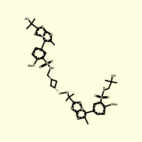 COc1ccc(-c2c(C)nc3sc(C(C)(C)OO[C@H]4C[C@H](CNS(=O)(=O)c5cc(-c6c(C)nc7sc(C(C)(C)O)nn67)ccc5OC)C4)nn23)cc1S(=O)(=O)NCC(C)(C)O